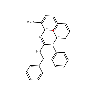 COc1ccccc1/N=C(/NCc1ccccc1)P(c1ccccc1)c1ccccc1